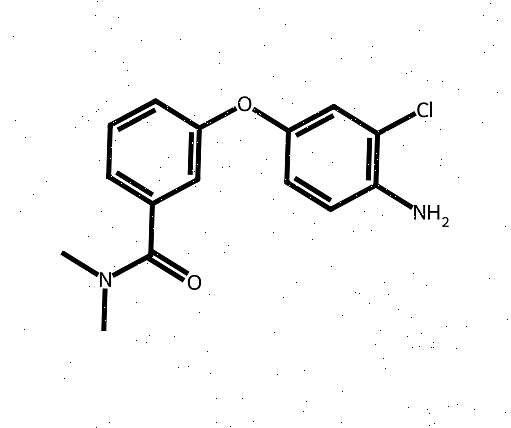 CN(C)C(=O)c1cccc(Oc2ccc(N)c(Cl)c2)c1